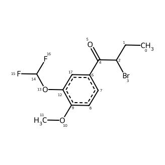 CCC(Br)C(=O)c1ccc(OC)c(OC(F)F)c1